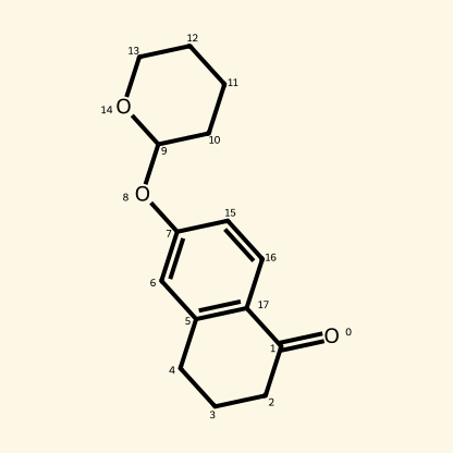 O=C1CCCc2cc(OC3CCCCO3)ccc21